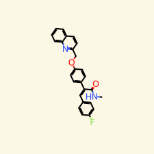 CNC(=O)C(=Cc1ccc(F)cc1)c1ccc(OCc2ccc3ccccc3n2)cc1